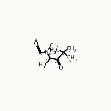 CC(C(=O)C(C)(C)C)N(C)C=O